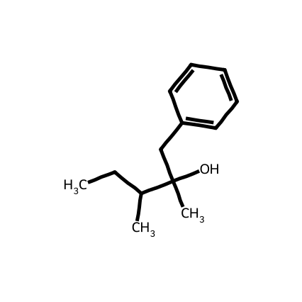 CCC(C)C(C)(O)Cc1ccccc1